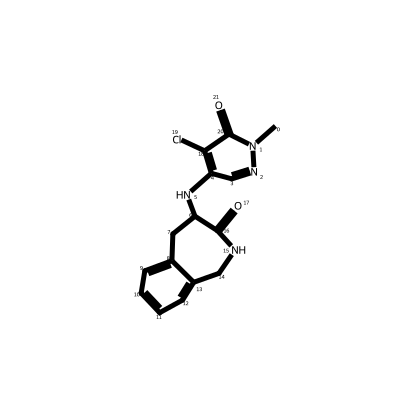 Cn1ncc(NC2Cc3ccccc3CNC2=O)c(Cl)c1=O